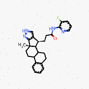 C[C@]12CCC3c4ccccc4CCC3C1[C@H](CCC(=O)Nc1ncccc1F)c1c[nH]nc12